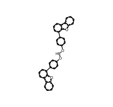 B(Oc1ccc(-c2cccc3c2oc2ccccc23)cc1)Oc1ccc(-c2cccc3c2oc2ccccc23)cc1